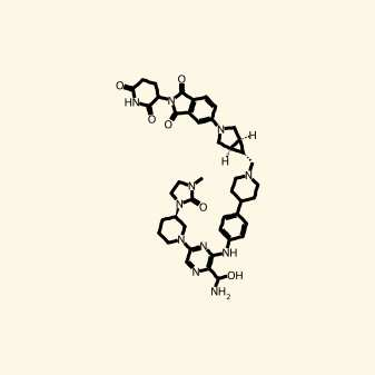 CN1CCN([C@@H]2CCCN(c3cnc(C(N)O)c(Nc4ccc(C5CCN(C[C@@H]6[C@H]7CN(c8ccc9c(c8)C(=O)N(C8CCC(=O)NC8=O)C9=O)C[C@@H]67)CC5)cc4)n3)C2)C1=O